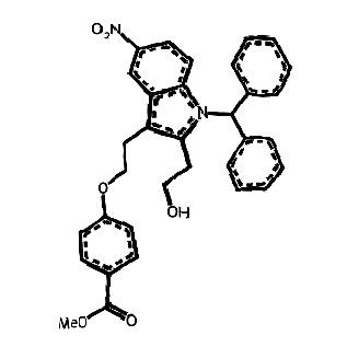 COC(=O)c1ccc(OCCc2c(CCO)n(C(c3ccccc3)c3ccccc3)c3ccc([N+](=O)[O-])cc23)cc1